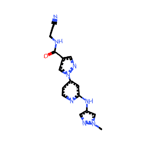 Cn1cc(Nc2cc(-n3cc(C(=O)NCC#N)cn3)ccn2)cn1